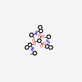 Cc1ccccc1/N=N/c1c(OC(=O)c2cc(C(=O)Oc3ccc4ccccc4c3/N=N/c3ccccc3C)cc(C(=O)Oc3ccc4ccccc4c3/N=N/c3ccccc3C)c2)ccc2ccccc12